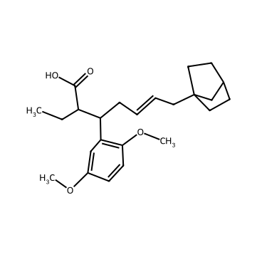 CCC(C(=O)O)C(CC=CCC12CCC(CC1)C2)c1cc(OC)ccc1OC